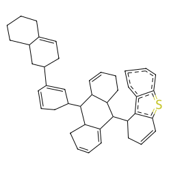 C1=CCC2C(=C1)C(C1CC=Cc3sc4ccccc4c31)C1CCC=CC1C2C1C=C(C2CC=C3CCCCC3C2)C=CC1